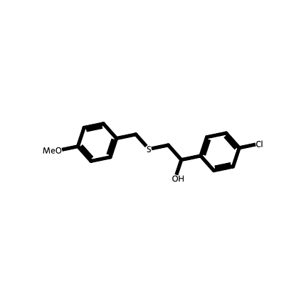 COc1ccc(CSCC(O)c2ccc(Cl)cc2)cc1